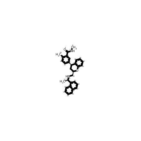 CNC(=O)c1cc([C@@H]2C[C@H](CN[C@H](C)c3cccc4ccccc34)Oc3ccccc32)ccc1C